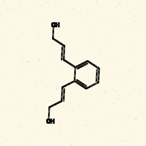 OCC=Cc1ccccc1C=CCO